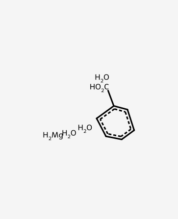 O.O.O.O=C(O)c1ccccc1.[MgH2]